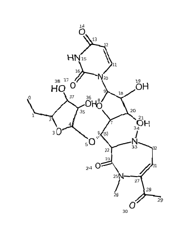 CCC1OC(O[C@H](C2OC(n3ccc(=O)[nH]c3=O)C(O)C2O)C2C(=O)N(C)C(C(C)=O)=CCN2C)C(O)C1O